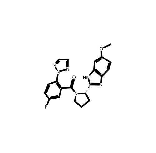 COc1ccc2nc([C@@H]3CCCN3C(=O)c3cc(F)ccc3-n3nccn3)[nH]c2c1